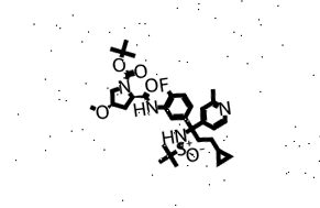 CO[C@@H]1C[C@H](C(=O)Nc2cc(C(CCC3CC3)(N[S@+]([O-])C(C)(C)C)c3ccnc(C)c3)ccc2F)N(C(=O)OC(C)(C)C)C1